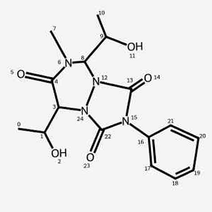 CC(O)C1C(=O)N(C)C(C(C)O)n2c(=O)n(-c3ccccc3)c(=O)n21